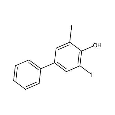 Oc1c(I)cc(-c2ccccc2)cc1I